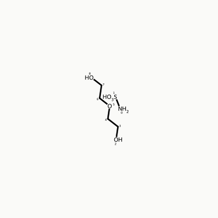 NS(=O)(=O)O.OCCOCCO